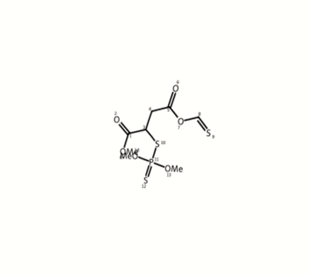 COC(=O)C(CC(=O)OC=S)SP(=S)(OC)OC